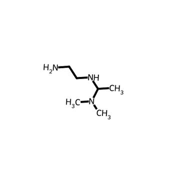 CC(NCCN)N(C)C